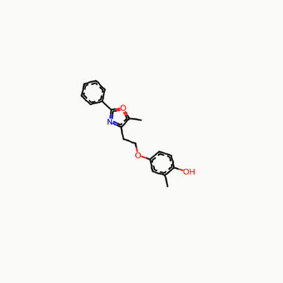 Cc1cc(OCCc2nc(-c3ccccc3)oc2C)ccc1O